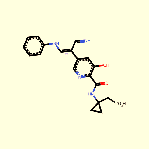 N=C/C(=C\Nc1ccccc1)c1cnc(C(=O)NC2(CC(=O)O)CC2)c(O)c1